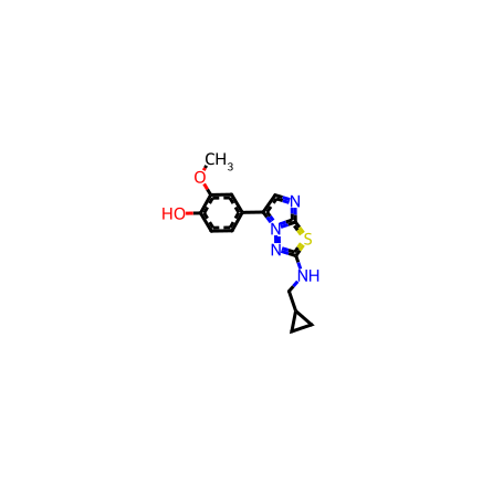 COc1cc(-c2cnc3sc(NCC4CC4)nn23)ccc1O